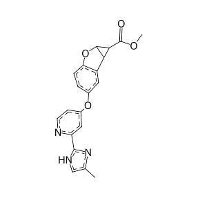 COC(=O)C1C2Oc3ccc(Oc4ccnc(-c5nc(C)c[nH]5)c4)cc3C21